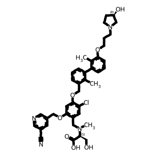 Cc1c(COc2cc(OCc3cncc(C#N)c3)c(CN(C)[C@@H](CO)C(=O)O)cc2Cl)cccc1-c1cccc(OCCCN2CC[C@@H](O)C2)c1C